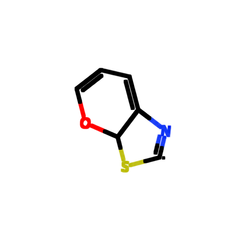 [C]1=NC2=CC=COC2S1